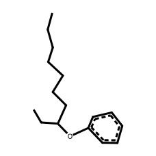 CCCCCCCC(CC)Oc1ccccc1